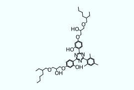 CCCCC(CC)COCC(O)COc1ccc(-c2nc(-c3ccc(OCC(O)COCC(CC)CCCC)cc3O)nc(-c3c(C)cc(C)cc3C)n2)c(O)c1